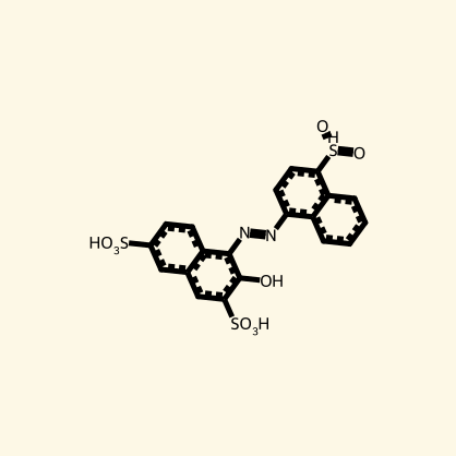 O=[SH](=O)c1ccc(N=Nc2c(O)c(S(=O)(=O)O)cc3cc(S(=O)(=O)O)ccc23)c2ccccc12